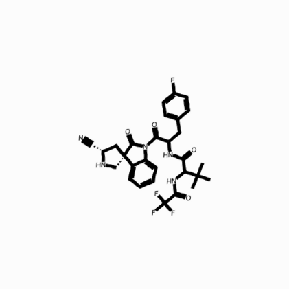 CC(C)(C)C(NC(=O)C(F)(F)F)C(=O)NC(Cc1ccc(F)cc1)C(=O)N1C(=O)[C@@]2(CN[C@H](C#N)C2)c2ccccc21